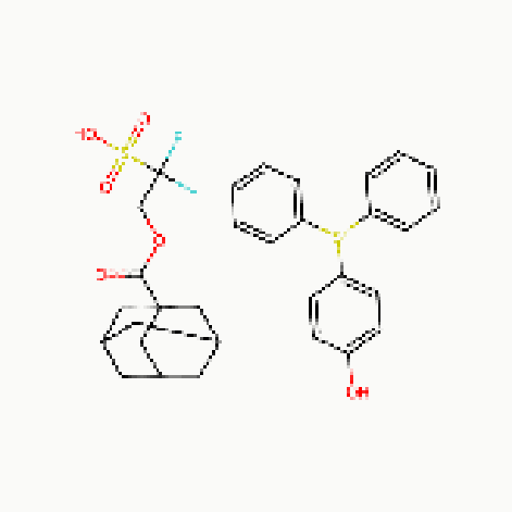 O=C(OCC(F)(F)S(=O)(=O)O)C12CC3CC(CC(C3)C1)C2.Oc1ccc([S+](c2ccccc2)c2ccccc2)cc1